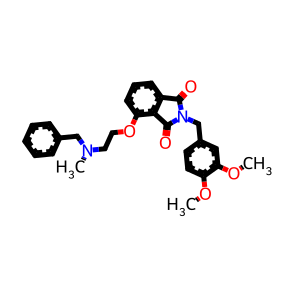 COc1ccc(CN2C(=O)c3cccc(OCCN(C)Cc4ccccc4)c3C2=O)cc1OC